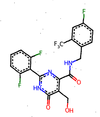 O=C(NCc1ccc(F)cc1C(F)(F)F)c1nc(-c2c(F)cccc2F)[nH]c(=O)c1CO